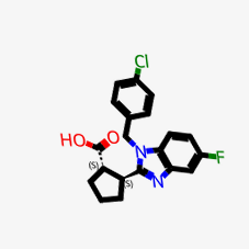 O=C(O)[C@H]1CCC[C@@H]1c1nc2cc(F)ccc2n1Cc1ccc(Cl)cc1